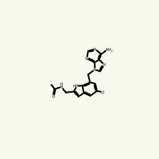 CC(=O)NCc1cc2cc(Cl)cc(Cn3cnc4c(N)ncnc43)c2[nH]1